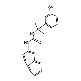 CC(=O)c1cccc(C(C)(C)NC(=O)Nc2ccc3ccccc3c2)c1